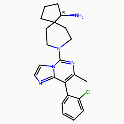 Cc1nc(N2CCC3(CCC[C@H]3N)CC2)n2ccnc2c1-c1ccccc1Cl